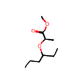 CCCC(CC)OC(C)C(=O)OC